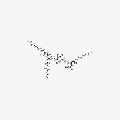 CCCCCCCCCCC(O)CN(CCCC[C@@H]1NC(=O)[C@H](CCCCN(CC(O)CCCCCCCCCC)CC(O)CCCCCCCCCC)NC1=O)CC(C)O